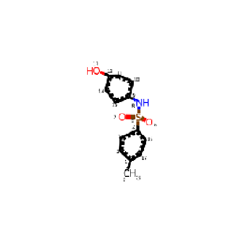 Cc1ccc(S(=O)(=O)Nc2ccc(O)cc2)cc1